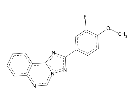 COc1ccc(-c2nc3c4ccccc4ncn3n2)cc1F